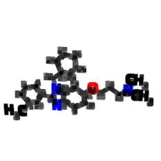 Cc1cccc(-c2nc3ccc(OCCCN(C)C)cc3n2Cc2ccccc2)c1